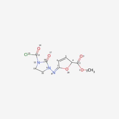 COC(=O)C1C=CC(=NN2CCN(C(=O)Cl)C2=O)O1